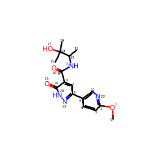 COc1ccc(-c2cc(C(=O)NC(C)C(C)(C)O)c(=O)[nH]n2)cn1